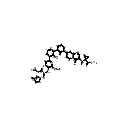 COC(=O)C1(N(C)c2cnc3cc(-c4cccc(-c5cccc(-c6ccc(CN(C[C@@H]7CCC(=O)N7)C(=O)OC(C)(C)C)c(OC)n6)c5Cl)c4Cl)ccn3c2=O)CC1